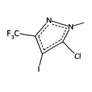 Cn1nc(C(F)(F)F)c(I)c1Cl